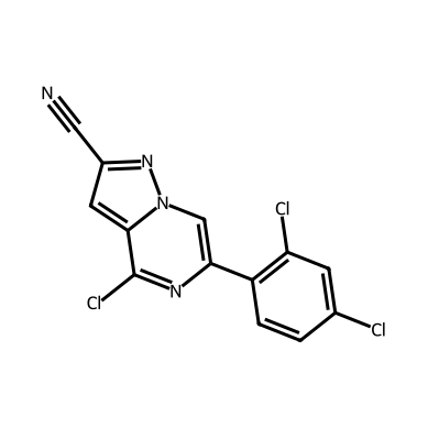 N#Cc1cc2c(Cl)nc(-c3ccc(Cl)cc3Cl)cn2n1